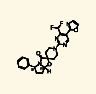 O=C1N2[C@@H](CC[C@H]2c2ccccc2)OC12CCN(c1ncc(-c3ncco3)c(C(F)F)n1)CC2